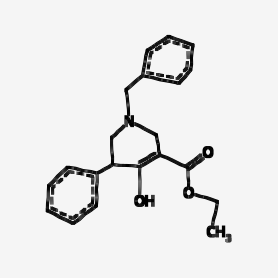 CCOC(=O)C1=C(O)C(c2ccccc2)CN(Cc2ccccc2)C1